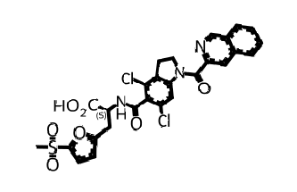 CS(=O)(=O)c1ccc(C[C@H](NC(=O)c2c(Cl)cc3c(c2Cl)CCN3C(=O)c2cc3ccccc3cn2)C(=O)O)o1